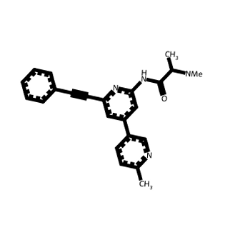 CNC(C)C(=O)Nc1cc(-c2ccc(C)nc2)cc(C#Cc2ccccc2)n1